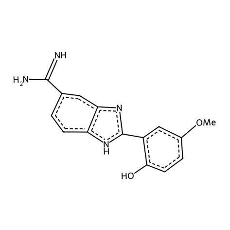 COc1ccc(O)c(-c2nc3cc(C(=N)N)ccc3[nH]2)c1